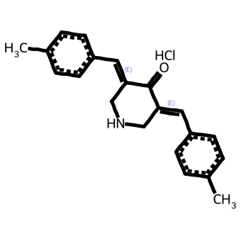 Cc1ccc(/C=C2\CNC/C(=C\c3ccc(C)cc3)C2=O)cc1.Cl